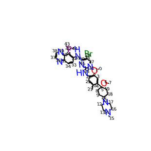 COc1cc(C2(OC)CCC(N3CCN(C)CC3)CC2)c(C)cc1Nc1ncc(Br)c(Nc2ccc3nccnc3c2P(C)C)n1